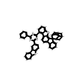 c1ccc(-c2nc(-c3ccc4sc5ccccc5c4c3)nc(-c3cccc4oc5c6c(ccc5c34)-c3ccccc3C63C4CC5CC(C4)CC3C5)n2)cc1